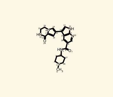 CN1CCC(NC(=O)c2cnc3[nH]cc(-c4cc5n(c4)CCNC5=O)c3c2)CC1